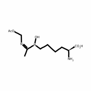 CC(=O)OCN=C(C)N(O)CCCC[C@H](N)C(=O)O